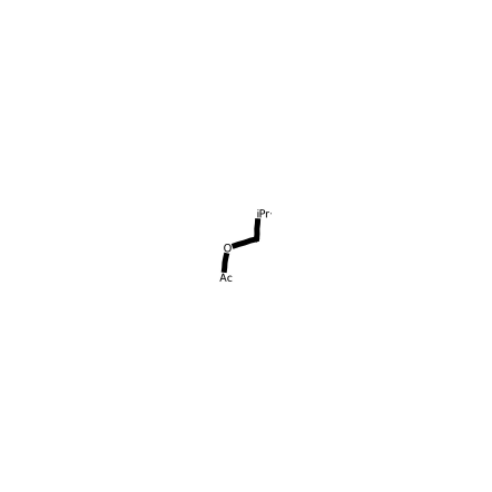 C[C](C)COC(C)=O